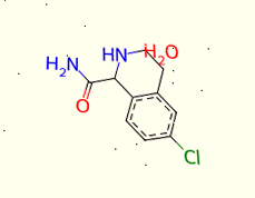 NC(=O)C1NCCc2cc(Cl)ccc21.O